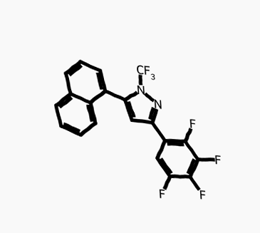 Fc1cc(-c2cc(-c3cccc4ccccc34)n(C(F)(F)F)n2)c(F)c(F)c1F